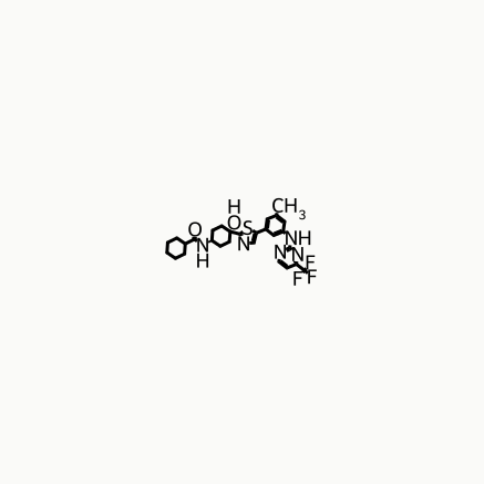 Cc1cc(Nc2nccc(C(F)(F)F)n2)cc(-c2cnc([C@]3(O)CC[C@@H](NC(=O)C4CCCCC4)CC3)s2)c1